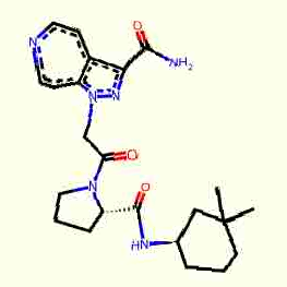 CC1(C)CCC[C@@H](NC(=O)[C@@H]2CCCN2C(=O)Cn2nc(C(N)=O)c3ccncc32)C1